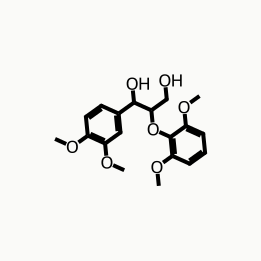 COc1ccc(C(O)C(CO)Oc2c(OC)cccc2OC)cc1OC